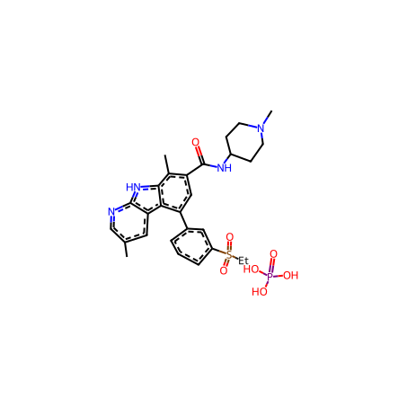 CCS(=O)(=O)c1cccc(-c2cc(C(=O)NC3CCN(C)CC3)c(C)c3[nH]c4ncc(C)cc4c23)c1.O=P(O)(O)O